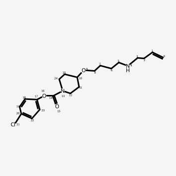 C=CCCNCCCCOC1CCN(C(=O)Oc2ccc(Cl)cc2)CC1